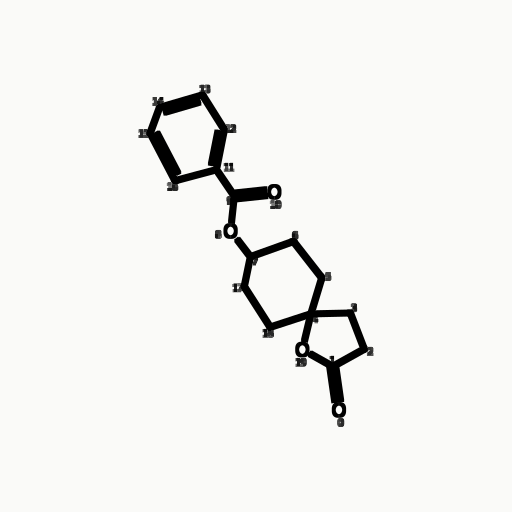 O=C1CCC2(CCC(OC(=O)c3ccccc3)CC2)O1